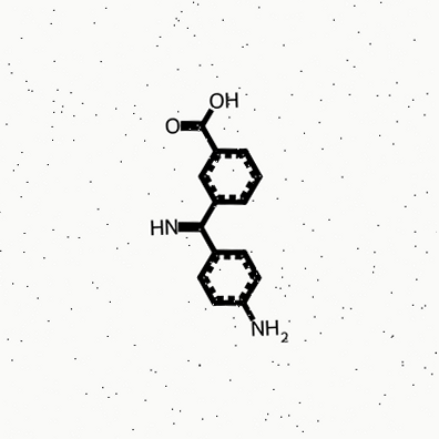 N=C(c1ccc(N)cc1)c1cccc(C(=O)O)c1